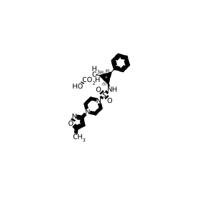 Cc1cc(N2CCN(S(=O)(=O)N[C@H]3[C@H](C)[C@@H]3c3ccccc3)CC2)no1.O=C(O)O